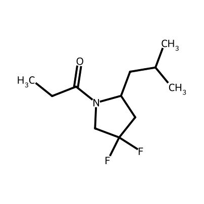 CCC(=O)N1CC(F)(F)CC1CC(C)C